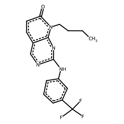 CCCCn1c(=O)ccc2cnc(Nc3cccc(C(F)(F)F)c3)nc21